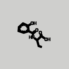 CCC(NC(=O)c1ccccc1O)C(=O)O